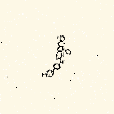 O=c1c(Cc2nccs2)cc2cnc(Nc3ccc(N4CCNCC4)cc3)nc2n1C1CCCC1